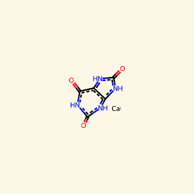 O=c1[nH]c(=O)c2[nH]c(=O)[nH]c2[nH]1.[Ca]